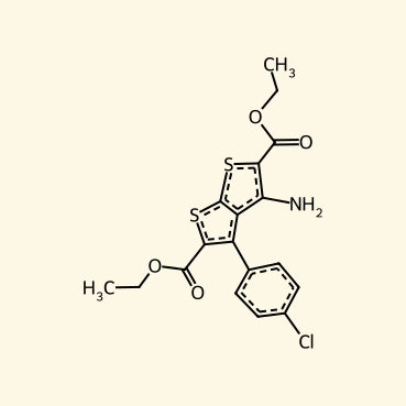 CCOC(=O)c1sc2sc(C(=O)OCC)c(-c3ccc(Cl)cc3)c2c1N